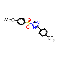 COc1ccc(S(=O)(=O)n2cnc(-c3ccc(C(F)(F)F)cc3)n2)cc1